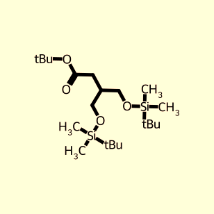 CC(C)(C)OC(=O)CC(CO[Si](C)(C)C(C)(C)C)CO[Si](C)(C)C(C)(C)C